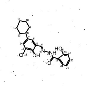 O=C(NN=Cc1cc(C2CCCCC2)cc(Cl)c1O)c1ccccc1O